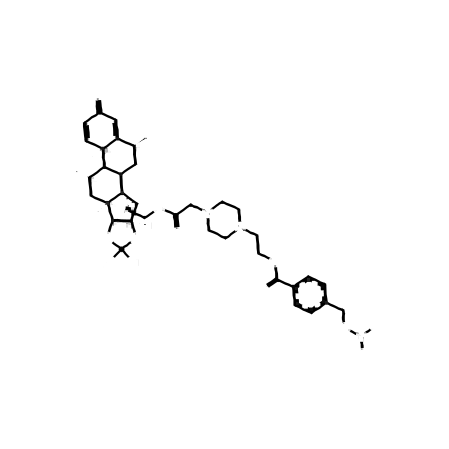 CC1(C)O[C@@H]2CC3C4C[C@H](F)C5=CC(=O)C=C[C@]5(C)C4[C@@H](O)C[C@]3(C)[C@]2(C(=O)COC(=O)CN2CCN(CCOC(=O)c3ccc(CON(O)O)cc3)CC2)O1